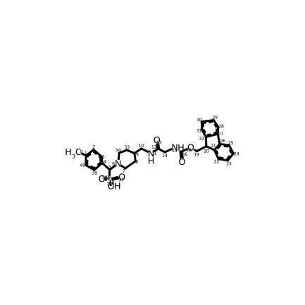 Cc1ccc(C(N2CCC(CNC(=O)CNC(=O)OCC3c4ccccc4-c4ccccc43)CC2)S(=O)(=O)O)cc1